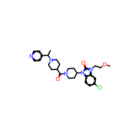 COCCn1c(=O)n(C2CCN(C(=O)C3CCN(C(C)c4ccncc4)CC3)CC2)c2ccc(Cl)cc21